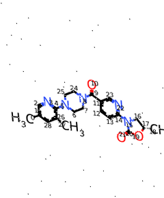 Cc1cnc(N2CCN(C(=O)c3ccc(N4C[C@H](C)OC4=O)nc3)CC2)c(C)c1